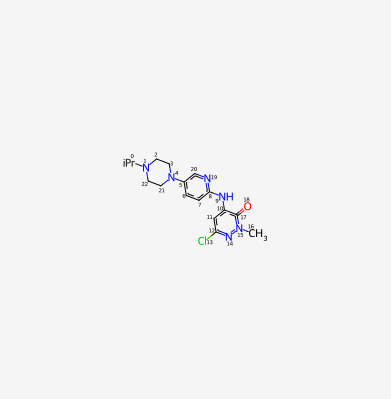 CC(C)N1CCN(c2ccc(Nc3cc(Cl)nn(C)c3=O)nc2)CC1